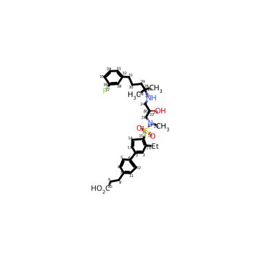 CCc1cc(-c2ccc(CCC(=O)O)cc2)ccc1S(=O)(=O)N(C)C[C@H](O)CNC(C)(C)CCCc1cccc(F)c1